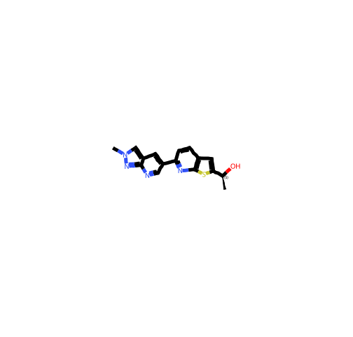 C[C@H](O)c1cc2ccc(-c3cnc4nn(C)cc4c3)nc2s1